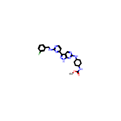 CC(C)(C)OC(=O)NC1CCC(Nc2ncc3c(-c4ccnc(NCc5cccc(F)c5)n4)n[nH]c3n2)CC1